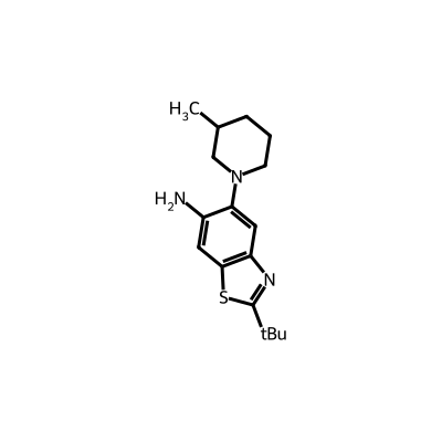 CC1CCCN(c2cc3nc(C(C)(C)C)sc3cc2N)C1